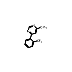 COc1cc(-c2ccccc2C(F)(F)F)ncn1